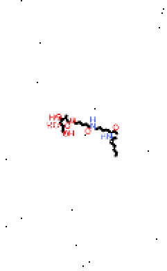 C=C(CCCCC)NC(CCCCNC(=O)CCCCOC1OC(CO)C(O)C(O)C1C)C(C)=O